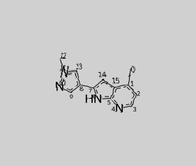 Cc1ccnc2[nH]c(-c3cnn(C)c3)cc12